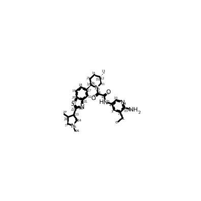 CCc1cc(NC(=O)C(=O)N2C[C@@H](C)CC[C@@H]2c2ccc3sc(C4CN(C)CC4C)nc3c2)cnc1N